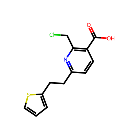 O=C(O)c1ccc(CCc2cccs2)nc1CCl